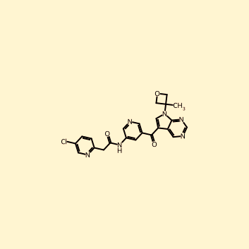 CC1(n2cc(C(=O)c3cncc(NC(=O)Cc4ccc(Cl)cn4)c3)c3cncnc32)COC1